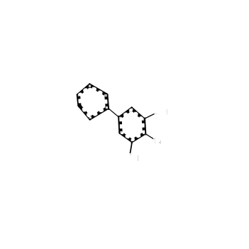 Cc1cc(-c2ccccc2)cc(C)c1Br